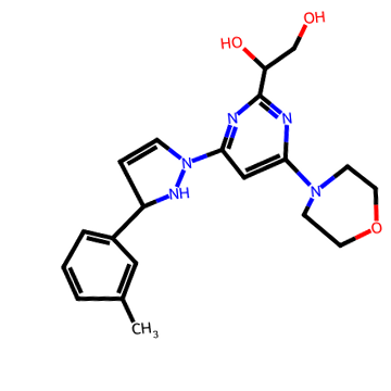 Cc1cccc(C2C=CN(c3cc(N4CCOCC4)nc(C(O)CO)n3)N2)c1